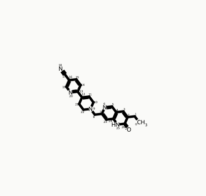 CCc1cc2cnc(CN3CC=C(c4ccc(C#N)cn4)CC3)cc2[nH]c1=O